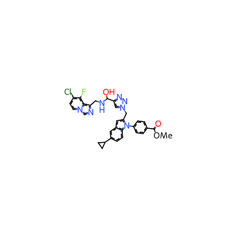 COC(=O)c1ccc(-n2c(Cn3cc(C(O)NCc4ncn5ccc(Cl)c(F)c45)nn3)cc3cc(C4CC4)ccc32)cc1